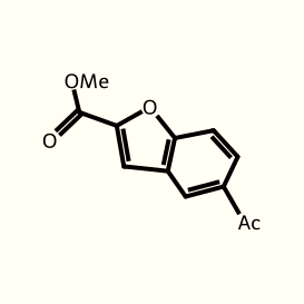 COC(=O)c1cc2cc(C(C)=O)ccc2o1